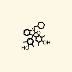 Cc1cc(C2(c3cc(C)c(O)c(C)c3)C(=O)N(CC3CCCCC3)c3ccccc32)cc(C)c1O